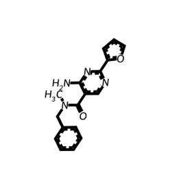 CN(Cc1ccccc1)C(=O)c1cnc(-c2ccco2)nc1N